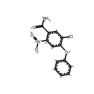 NC(=O)c1cc(Cl)c(Oc2ccccc2)cc1[N+](=O)[O-]